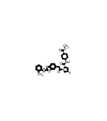 COC(=O)[C@H]1CC[C@@H](NC(=O)[C@@H]2C[C@H](F)CN2C(=O)Cc2ccc3nc(Nc4ccccc4C)oc3c2)CC1